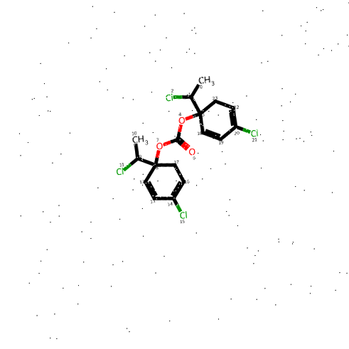 CC(Cl)C1(OC(=O)OC2(C(C)Cl)C=CC(Cl)=CC2)C=CC(Cl)=CC1